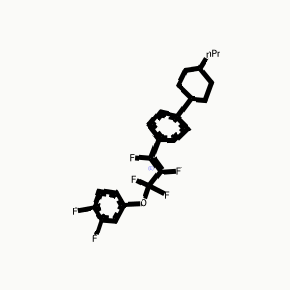 CCCC1CCC(c2ccc(/C(F)=C(\F)C(F)(F)Oc3ccc(F)c(F)c3)cc2)CC1